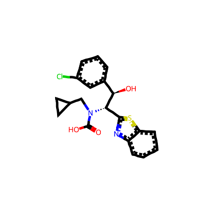 O=C(O)N(CC1CC1)[C@@H](c1nc2ccccc2s1)[C@H](O)c1cccc(Cl)c1